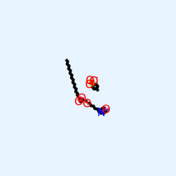 CCCCCCCCCCCCCCCCC[C@@H]1OC[C@@H](COCCCCCC[N+]2(C)CCOCC2)O1.Cc1ccc(S(=O)(=O)[O-])cc1